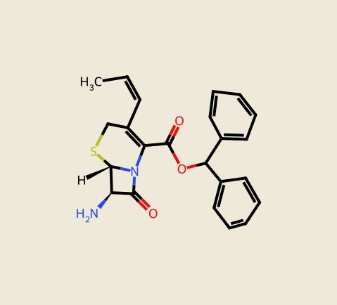 C/C=C\C1=C(C(=O)OC(c2ccccc2)c2ccccc2)N2C(=O)[C@@H](N)[C@@H]2SC1